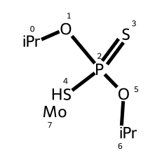 CC(C)OP(=S)(S)OC(C)C.[Mo]